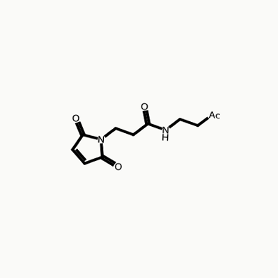 CC(=O)CCNC(=O)CCN1C(=O)C=CC1=O